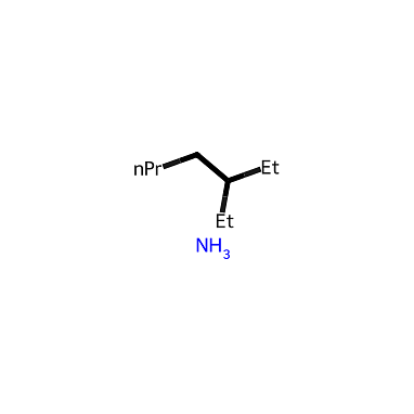 CCCCC(CC)CC.N